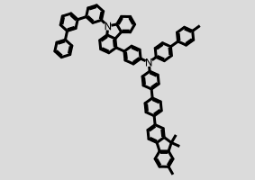 Cc1ccc(-c2ccc(N(c3ccc(-c4ccc(-c5ccc6c(c5)C(C)(C)c5cc(C)ccc5-6)cc4)cc3)c3ccc(-c4cccc5c4c4ccccc4n5-c4cccc(-c5cccc(-c6ccccc6)c5)c4)cc3)cc2)cc1